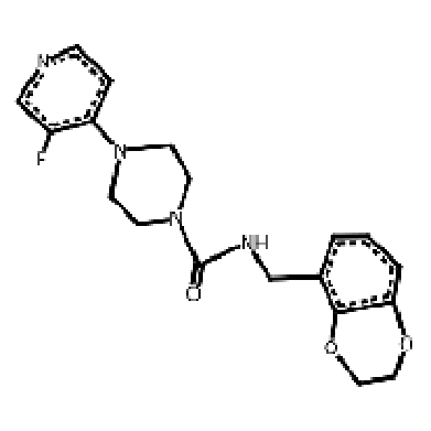 O=C(NCc1cccc2c1OCCO2)N1CCN(c2ccncc2F)CC1